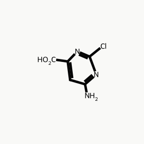 Nc1cc(C(=O)O)nc(Cl)n1